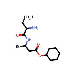 CCC(CC(=O)OC1CCCCC1)NC(=O)C(N)CC(=O)O